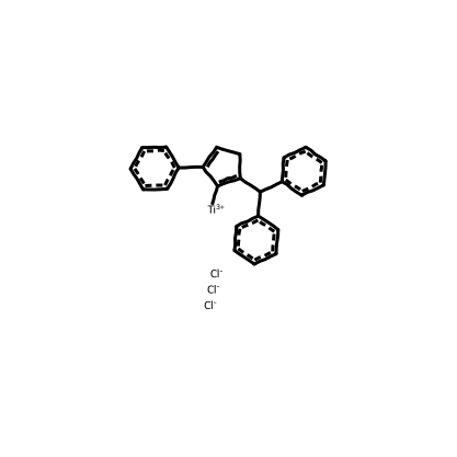 [Cl-].[Cl-].[Cl-].[Ti+3][C]1=C(C(c2ccccc2)c2ccccc2)CC=C1c1ccccc1